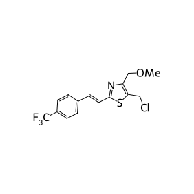 COCc1nc(/C=C/c2ccc(C(F)(F)F)cc2)sc1CCl